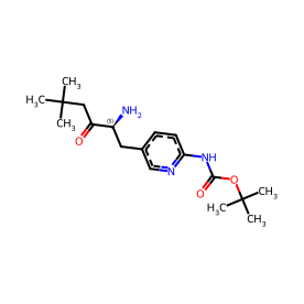 CC(C)(C)CC(=O)[C@@H](N)Cc1ccc(NC(=O)OC(C)(C)C)nc1